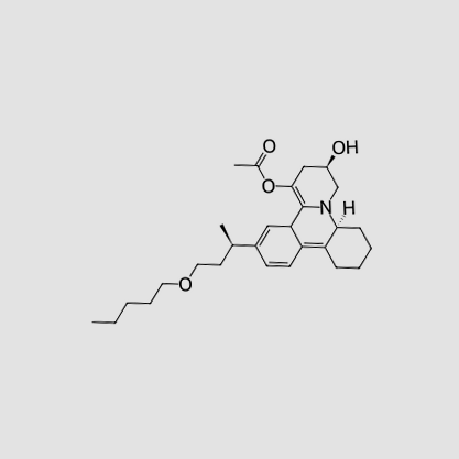 CCCCCOCC[C@@H](C)C1=CC2C(=C3CCCC[C@@H]3N3C[C@H](O)CC(OC(C)=O)=C23)C=C1